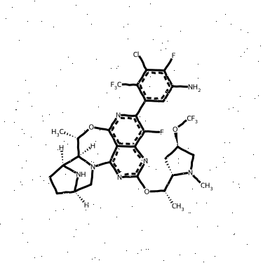 C[C@@H]1Oc2nc(-c3cc(N)c(F)c(Cl)c3C(F)(F)F)c(F)c3nc(O[C@@H](C)[C@@H]4C[C@@H](OC(F)(F)F)CN4C)nc(c23)N2C[C@H]3CC[C@H](N3)[C@@H]12